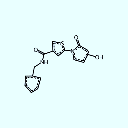 O=C(NCc1ccccc1)c1csc(-n2ccc(O)cc2=O)c1